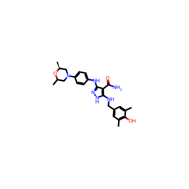 Cc1cc(CNc2[nH]nc(Nc3ccc(N4CC(C)O[C@@H](C)C4)cc3)c2C(N)=O)cc(C)c1O